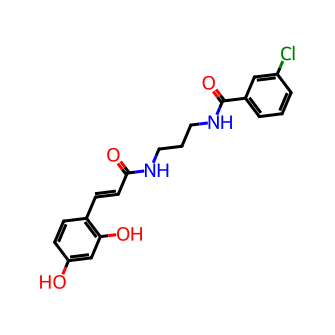 O=C(/C=C/c1ccc(O)cc1O)NCCCNC(=O)c1cccc(Cl)c1